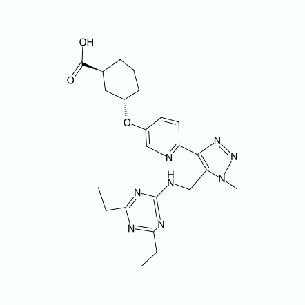 CCc1nc(CC)nc(NCc2c(-c3ccc(O[C@H]4CCC[C@H](C(=O)O)C4)cn3)nnn2C)n1